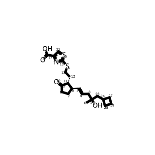 CC(O)(C/C=C/[C@H]1CCC(=O)[C@@H]1CCSc1nc(C(=O)O)cs1)CC1CCC1